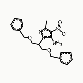 Cc1nn(C(COCc2ccccc2)COCc2ccccc2)c(N)c1[N+](=O)[O-]